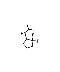 CC(C)NC1CCCC1(F)F